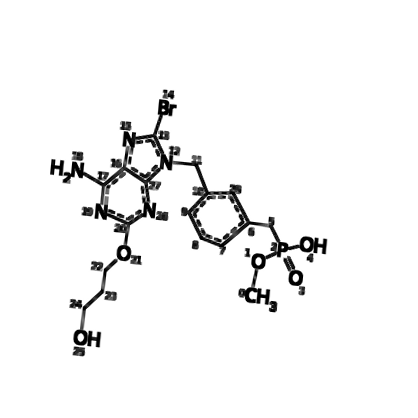 COP(=O)(O)Cc1cccc(Cn2c(Br)nc3c(N)nc(OCCCO)nc32)c1